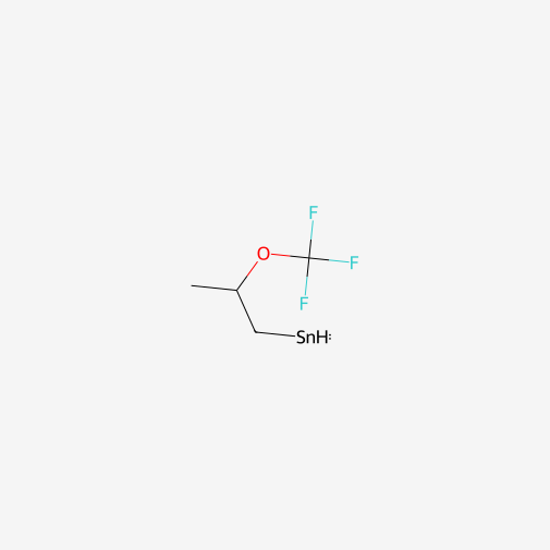 CC([CH2][SnH])OC(F)(F)F